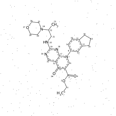 CCOC(=O)c1cn(-c2ccc3c(c2)CCC3)c2nc(NCC(C)N3CCOCC3)ncc2c1=O